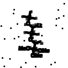 CCC(O[Si](C)(C)C)[Si](C)(C)OC(C)[Si](OC)(OC)OC